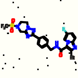 CCc1nc2ccc(F)cn2c1C(=O)NCc1ccc(-c2nc3n(n2)CCN(S(=O)(=O)C(F)(F)F)C3)cc1